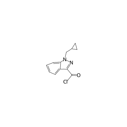 O=C(Cl)c1nn(CC2CC2)c2ccccc12